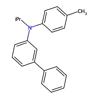 Cc1ccc(N(c2cccc(-c3ccccc3)c2)C(C)C)cc1